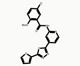 COc1ccc(Cl)cc1C(=O)Nc1cc(-c2nnc(-c3ccco3)o2)ccn1